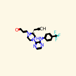 C#CC[C@@H]1CN(c2nccnc2Nc2ccc(C(F)(F)F)cc2)CCN1C=CC=O